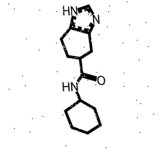 O=C(NC1CCCCC1)C1CCc2[nH]cnc2C1